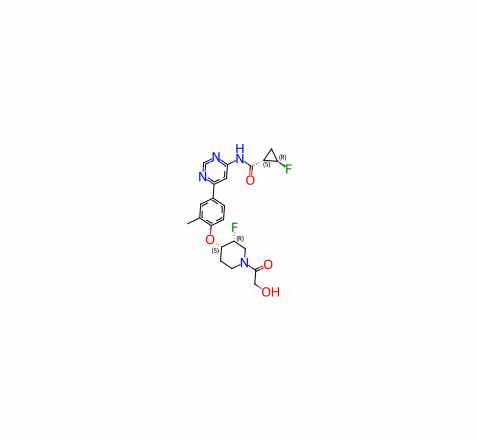 Cc1cc(-c2cc(NC(=O)[C@@H]3C[C@H]3F)ncn2)ccc1O[C@H]1CCN(C(=O)CO)C[C@H]1F